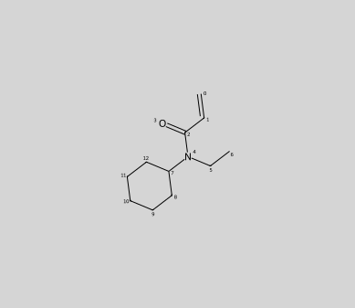 C=CC(=O)N(CC)C1CCCCC1